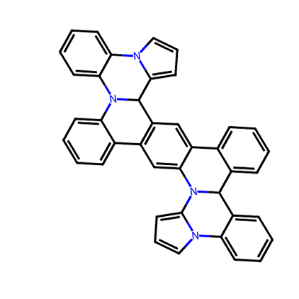 c1ccc2c(c1)-c1cc3c(cc1N1c4cccn4-c4ccccc4C21)-c1ccccc1N1c2ccccc2-n2cccc2C31